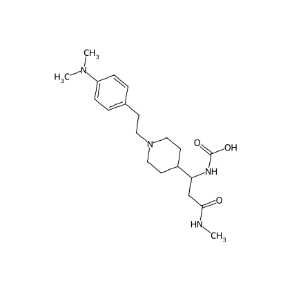 CNC(=O)CC(NC(=O)O)C1CCN(CCc2ccc(N(C)C)cc2)CC1